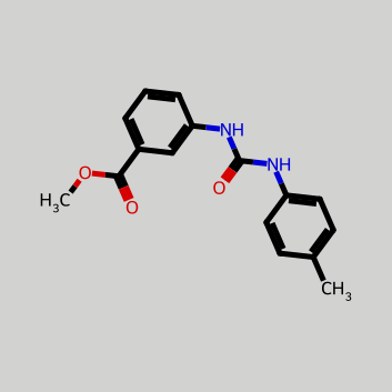 COC(=O)c1cccc(NC(=O)Nc2ccc(C)cc2)c1